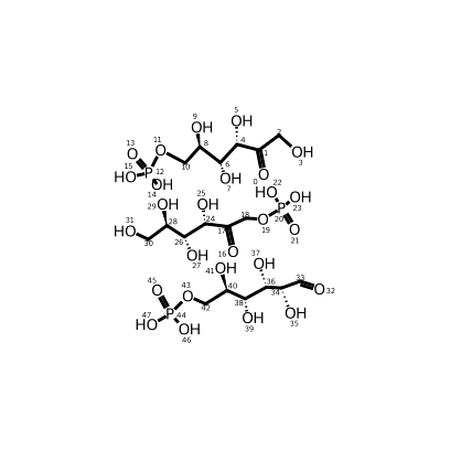 O=C(CO)[C@@H](O)[C@H](O)[C@H](O)COP(=O)(O)O.O=C(COP(=O)(O)O)[C@@H](O)[C@H](O)[C@H](O)CO.O=C[C@H](O)[C@@H](O)[C@H](O)[C@H](O)COP(=O)(O)O